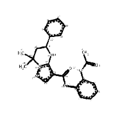 CC(=O)Oc1ccccc1NC(=O)c1cnn2c1NC(c1ccccc1)CC2(C)C